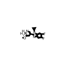 CO/C(N)=C/C(=C\N)c1nc2cc(F)c(F)cc2n1C1CC1